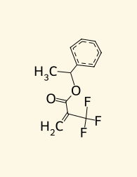 C=C(C(=O)OC(C)c1ccccc1)C(F)(F)F